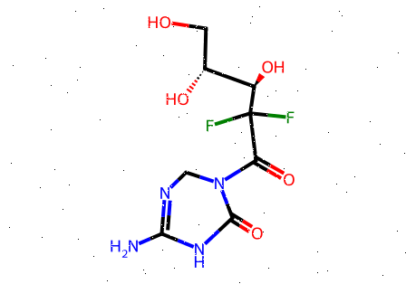 NC1=NCN(C(=O)C(F)(F)[C@H](O)[C@H](O)CO)C(=O)N1